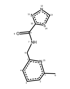 Cc1cccc(CNC(=O)c2nncs2)n1